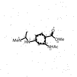 CNC(C)Nc1ccc(C(=O)OC)c(NC(C)=O)c1